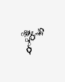 CS(=O)(=O)O.Cc1ccc(COC(=O)N2CC[C@@H](CNc3ncccn3)C(F)(F)C2)cc1